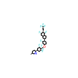 Cc1ccc(-c2cc(F)c(C(F)(F)Oc3ccc(-c4ccc5c(F)c(C#CC(F)(F)F)c(F)cc5c4)c(F)c3)c(F)c2)nc1